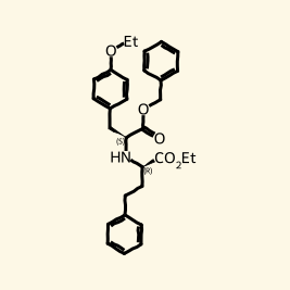 CCOC(=O)[C@@H](CCc1ccccc1)N[C@@H](Cc1ccc(OCC)cc1)C(=O)OCc1ccccc1